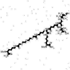 CN[C@@H](CCCCNC(=O)COCCOCCOCC(=O)NCCCC[C@H](NC(=O)CCCC(=O)NC(CNC(C)(C)/C(C)=N/O)CNC(C)(C)/C(C)=N/O)C(=O)NCCCC[C@H](NC)C(N)=O)C(N)=O